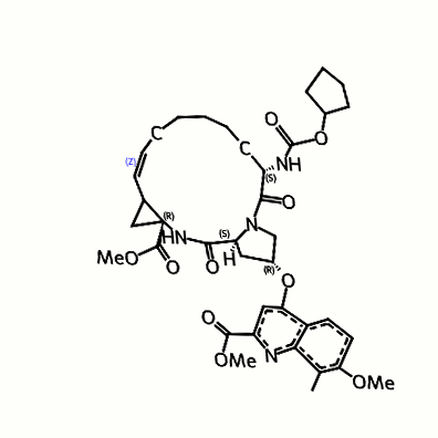 COC(=O)c1cc(O[C@@H]2C[C@H]3C(=O)N[C@]4(C(=O)OC)CC4/C=C\CCCCC[C@H](NC(=O)OC4CCCC4)C(=O)N3C2)c2ccc(OC)c(C)c2n1